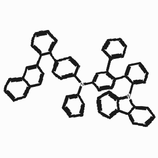 c1ccc(-c2cc(N(c3ccccc3)c3ccc(-c4ccccc4-c4ccc5ccccc5c4)cc3)ccc2-c2ccccc2-n2c3ccccc3c3ccccc32)cc1